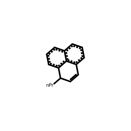 CCCC1C=Cc2cccc3cccc1c23